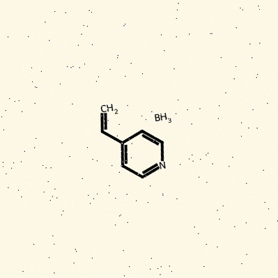 B.C=Cc1ccncc1